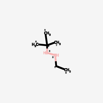 CCBBC(C)(C)C